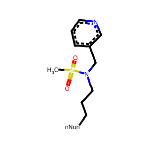 CCCCCCCCCCCCN(Cc1cccnc1)S(C)(=O)=O